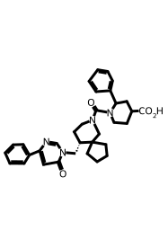 O=C(O)C1CCN(C(=O)N2CC[C@@H](Cn3cnc(-c4ccccc4)cc3=O)C3(CCCC3)C2)C(c2ccccc2)C1